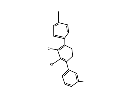 Cc1ccc(C2=C(Cl)C(Cl)=C(c3cccc(I)c3)[CH]C2)cc1